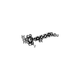 C=C(CO)C(=O)OCC(COC(=O)C(=C)CO)COc1ccc(C2CCC(C3CCC(c4ccc(OCCCC)cc4)CC3)CC2)c(CC)c1